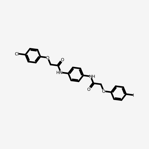 O=C(COc1ccc(Cl)cc1)Nc1ccc(NC(=O)COc2ccc(I)cc2)cc1